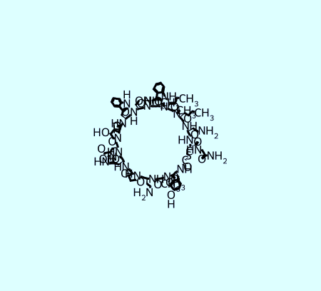 CCCC[C@H]1C(=O)N[C@@H](CCN)C(=O)N[C@H](C(=O)NCC(N)=O)CSCC(=O)N[C@@H](Cc2ccc(O)cc2)C(=O)N(C)[C@@H](C)C(=O)N[C@@H](CCN)C(=O)N2CCC[C@H]2C(=O)N[C@@H](Cc2c[nH]cn2)C(=O)N[C@@H](CCC(=O)O)C(=O)N2C[C@H](O)C[C@H]2C(=O)N[C@@H](Cc2c[nH]c3ccccc23)C(=O)N[C@@H](CO)C(=O)N(N)[C@@H](Cc2c[nH]c3ccccc23)C(=O)N(C)[C@@H](CCCC)C(=O)N1C